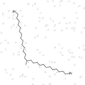 [CH2]C(CCCCCCCCCCCCCCC(C)C)CCCCCCCCCCCCC(C)C